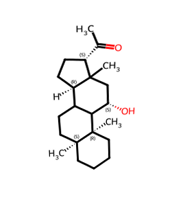 CC(=O)[C@H]1CC[C@@H]2C3CC[C@]4(C)CCCC[C@]4(C)C3[C@@H](O)CC12C